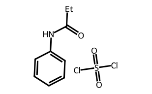 CCC(=O)Nc1ccccc1.O=S(=O)(Cl)Cl